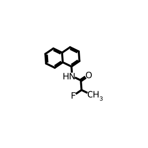 CC(F)C(=O)Nc1cccc2ccccc12